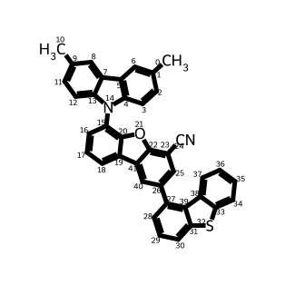 Cc1ccc2c(c1)c1cc(C)ccc1n2-c1cccc2c1oc1c(C#N)cc(-c3cccc4sc5ccccc5c34)cc12